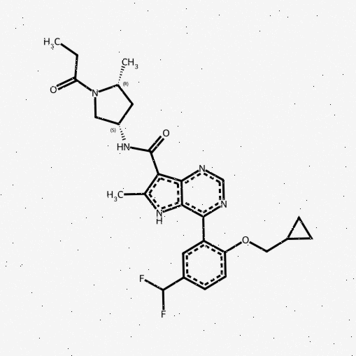 CCC(=O)N1C[C@@H](NC(=O)c2c(C)[nH]c3c(-c4cc(C(F)F)ccc4OCC4CC4)ncnc23)C[C@H]1C